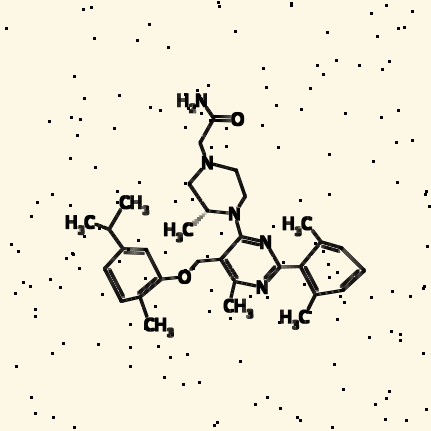 Cc1ccc(C(C)C)cc1OCc1c(C)nc(-c2c(C)cccc2C)nc1N1CCN(CC(N)=O)C[C@H]1C